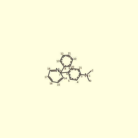 CN(C)c1ccc(C2(c3cc[c]cc3)C=CC=CC=N2)cc1